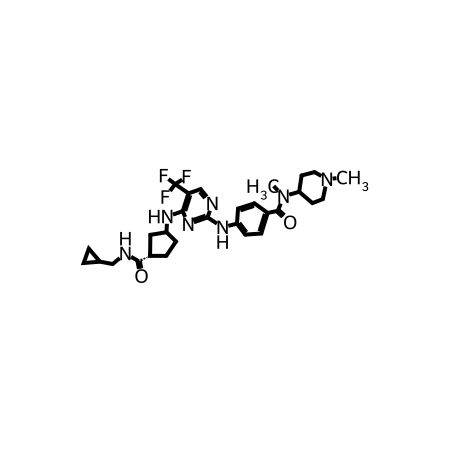 CN1CCC(N(C)C(=O)c2ccc(Nc3ncc(C(F)(F)F)c(NC4CC[C@H](C(=O)NCC5CC5)C4)n3)cc2)CC1